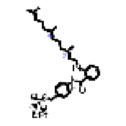 CCOP(=O)(OCC)OCc1ccc(NC(=O)c2ccccc2NC/C=C(\C)CC/C=C(\C)CCC=C(C)C)cc1